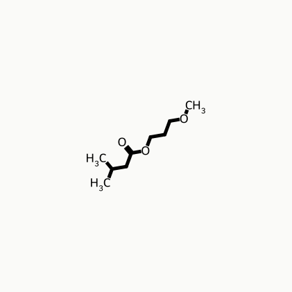 COCCCOC(=O)CC(C)C